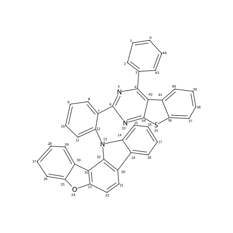 c1ccc(-c2nc(-c3ccccc3-n3c4ccccc4c4ccc5oc6ccccc6c5c43)nc3sc4ccccc4c23)cc1